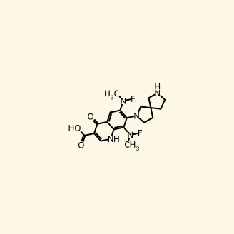 CN(F)c1cc2c(=O)c(C(=O)O)c[nH]c2c(N(C)F)c1N1CCC2(CCNC2)C1